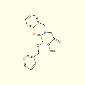 CC(C)(C)OC(=O)CN(Cc1ccccc1)C(=O)COCc1ccccc1